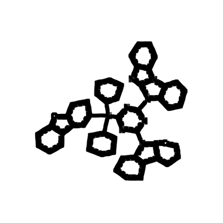 c1ccc([Si](c2ccccc2)(c2ccc3oc4ccccc4c3c2)c2nc(-n3c4ccccc4c4ccccc43)nc(-n3c4ccccc4n4c5ccccc5nc34)n2)cc1